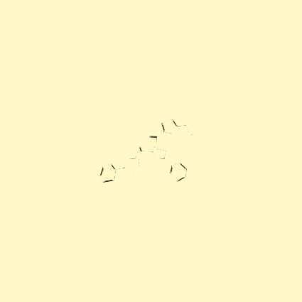 NCc1ccc(C(=O)N2CC(c3ccccc3)CC2C(=O)N2CCC(c3ccccc3)C2)o1